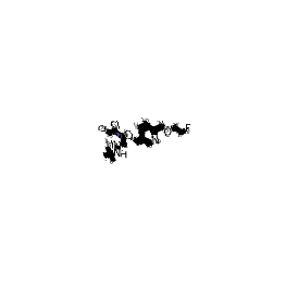 CC(C)(C)NNC/C(OCc1ccc(COCCF)nc1)=C(/Cl)C=O